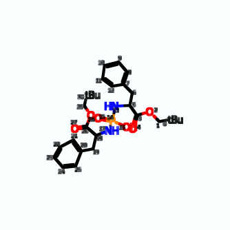 CC(C)(C)COC(=O)C(Cc1ccccc1)NP(=O)(O)NC(Cc1ccccc1)C(=O)OCC(C)(C)C